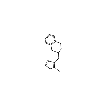 CC1=C(CC2CCc3cccnc3C2)N=CC1